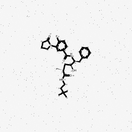 C[C@H](C[C@H](O)[C@H](Cc1ccccc1)NC(=O)c1ccc(F)c(N2CCCC2=O)c1)C(=O)NCCC(C)(C)C